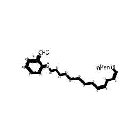 CCCCC/C=C\C/C=C\CCCCCCCCOc1ccccc1C=O